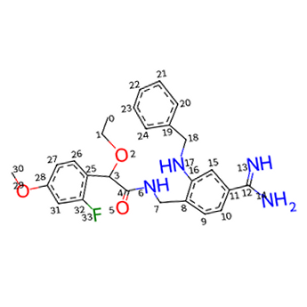 CCOC(C(=O)NCc1ccc(C(=N)N)cc1NCc1ccccc1)c1ccc(OC)cc1F